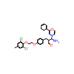 Cc1cc(Cl)c(OCCOc2ccc(CC(C=O)C(N)N3C=COC(C4=CC=CCC4)=C3)cc2)c(Cl)c1